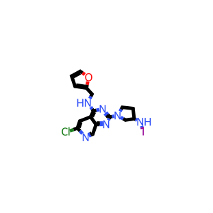 Clc1cc2c(NCc3ccco3)nc(N3CCC(NI)C3)nc2cn1